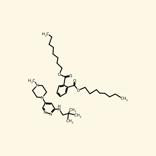 CCCCCCCCOC(=O)c1ccccc1C(=O)OCCCCCCCC.CN1CCN(c2cnnc(NCC(C)(C)C)c2)CC1